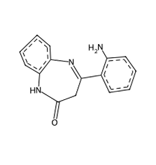 Nc1ccccc1C1=Nc2ccccc2NC(=O)C1